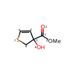 COC(=O)C1(O)C=CSC1